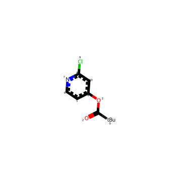 CC(C)(C)C(=O)Oc1ccnc(Cl)c1